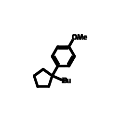 CCC(C)C1(c2ccc(OC)cc2)CCCC1